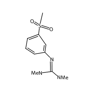 CNC(=Nc1cccc(S(C)(=O)=O)c1)NC